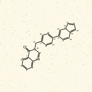 O=c1c2ncccc2ncn1Cc1ccc(-c2ccc3cccn3c2)cc1